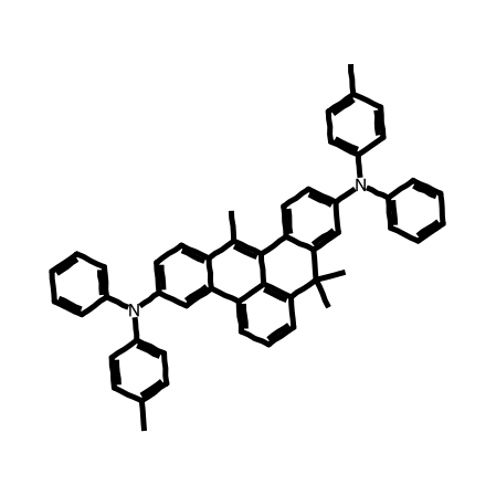 Cc1ccc(N(c2ccccc2)c2ccc3c(c2)C(C)(C)c2cccc4c2c-3c(C)c2ccc(N(c3ccccc3)c3ccc(C)cc3)cc24)cc1